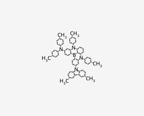 Cc1ccc(N(c2ccc(C)cc2)c2ccc3c(c2)N(c2ccc(C)cc2)c2cccc4c2B3c2ccc(-n3c5ccc(C)cc5c5cc(C)ccc53)cc2N4c2ccc(C)cc2)cc1